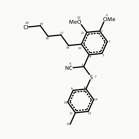 COc1ccc(C(C#N)Sc2ccc(C)cc2)c(CCCCCl)c1OC